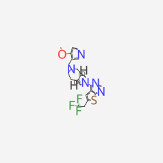 COc1ccncc1CN1CC[C@@H]2CN(c3ncnc4sc(CC(F)(F)F)cc34)C[C@@H]2C1